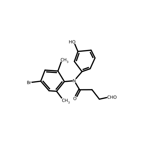 Cc1cc(Br)cc(C)c1N(C(=O)CCC=O)c1cccc(O)c1